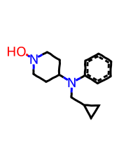 ON1CCC(N(CC2CC2)c2ccccc2)CC1